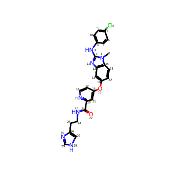 Cn1c(Nc2ccc(Cl)cc2)nc2cc(Oc3ccnc(C(=O)NCCc4c[nH]cn4)c3)ccc21